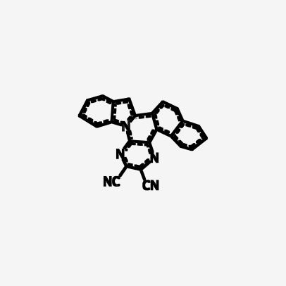 N#Cc1nc2c3c4ccccc4ccc3c3cc4ccccc4n3c2nc1C#N